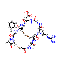 CC(C)C(=O)[C@@H]1CSCC(=O)N[C@@H](C)C(=O)N[C@H]2CSSC[C@H](NC(=O)[C@H](CC(=O)O)NC(=O)CNC(=O)[C@H](CCCNC(=N)N)NC2=O)C(=O)N[C@@H](Cc2ccccc2)C(=O)N1